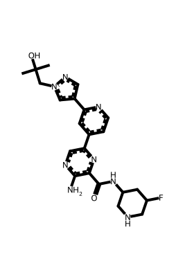 CC(C)(O)Cn1cc(-c2cc(-c3cnc(N)c(C(=O)NC4CNCC(F)C4)n3)ccn2)cn1